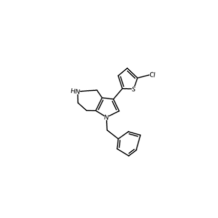 Clc1ccc(-c2cn(Cc3ccccc3)c3c2CNCC3)s1